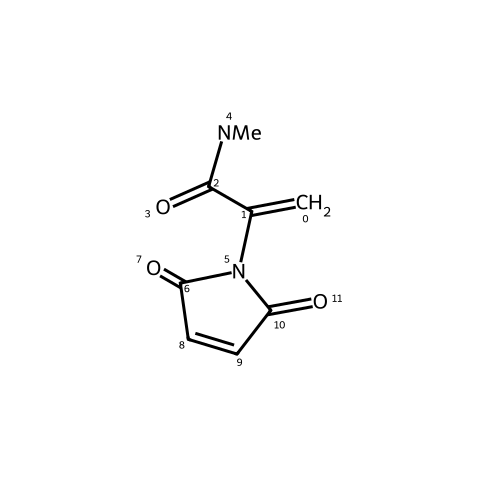 C=C(C(=O)NC)N1C(=O)C=CC1=O